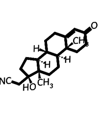 C[C@]12CCC(=O)C=C1CC[C@@H]1[C@@H]2CC[C@@]2(C)[C@H]1CC[C@@]2(O)CC#N